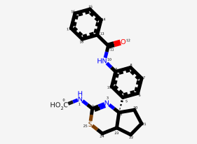 O=C(O)NC1=N[C@@]2(c3cccc(NC(=O)c4ccccc4)c3)CCCC2CS1